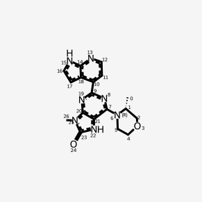 C[C@@H]1COCCN1c1nc(-c2ccnc3[nH]ccc23)nc2c1[nH]c(=O)n2C